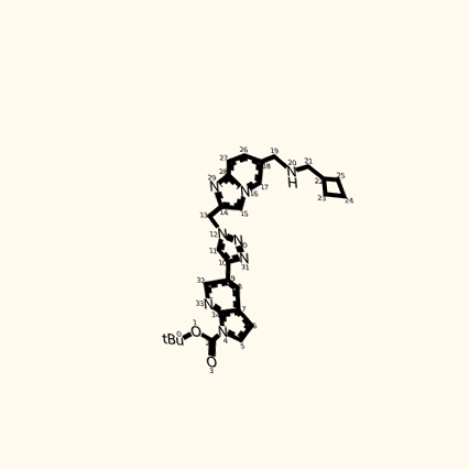 CC(C)(C)OC(=O)n1ccc2cc(-c3cn(Cc4cn5cc(CNCC6CCC6)ccc5n4)nn3)cnc21